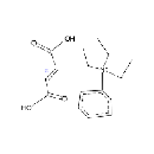 CC[N+](CC)(CC)c1ccccc1.O=C(O)/C=C/C(=O)O